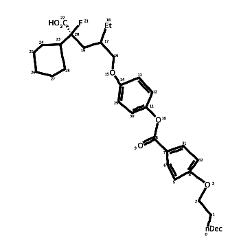 CCCCCCCCCCCCOc1ccc(C(=O)Oc2ccc(OCC(CC)C[C@@](F)(C(=O)O)C3CCCCC3)cc2)cc1